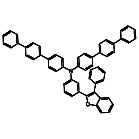 c1ccc(-c2ccc(-c3ccc(N(c4ccc(-c5ccc(-c6ccccc6)cc5)cc4)c4cccc(-c5oc6ccccc6c5-c5ccccc5)c4)cc3)cc2)cc1